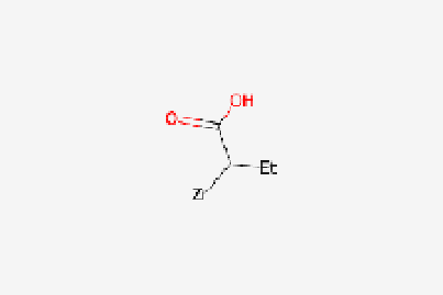 CC[CH]([Zr])C(=O)O